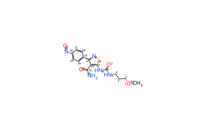 COCCCNC(=O)Nc1snc(-c2ccc(N=O)cc2)c1C(N)=O